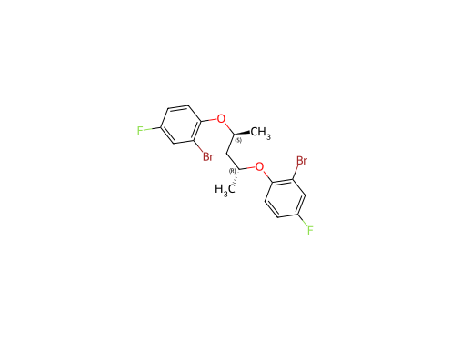 C[C@H](C[C@H](C)Oc1ccc(F)cc1Br)Oc1ccc(F)cc1Br